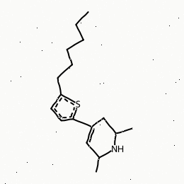 CCCCCCc1ccc(C2=CC(C)NC(C)C2)s1